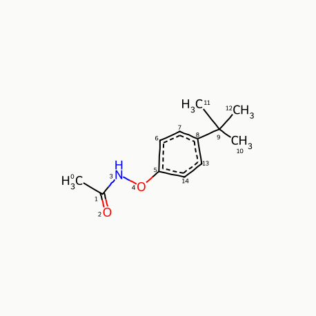 CC(=O)NOc1ccc(C(C)(C)C)cc1